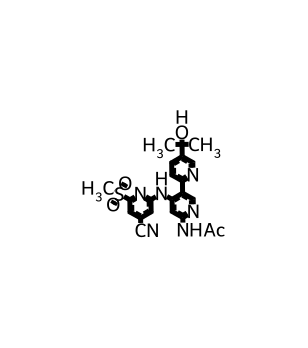 CC(=O)Nc1cc(Nc2cc(C#N)cc(S(C)(=O)=O)n2)c(-c2ccc(C(C)(C)O)cn2)cn1